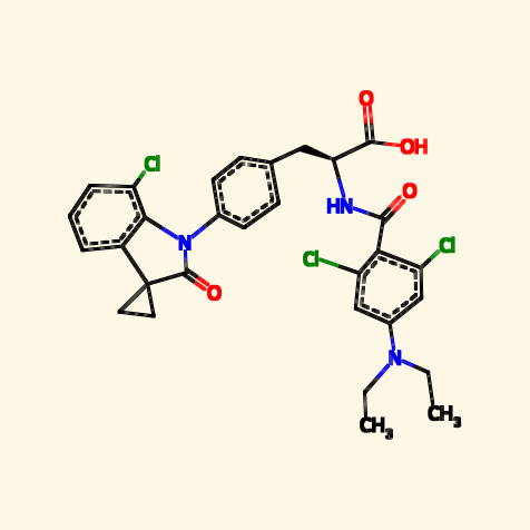 CCN(CC)c1cc(Cl)c(C(=O)N[C@@H](Cc2ccc(N3C(=O)C4(CC4)c4cccc(Cl)c43)cc2)C(=O)O)c(Cl)c1